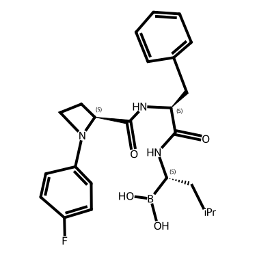 CC(C)C[C@@H](NC(=O)[C@H](Cc1ccccc1)NC(=O)[C@@H]1CCN1c1ccc(F)cc1)B(O)O